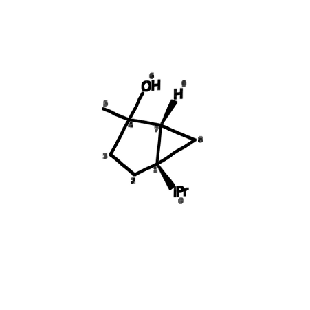 CC(C)[C@@]12CCC(C)(O)[C@@H]1C2